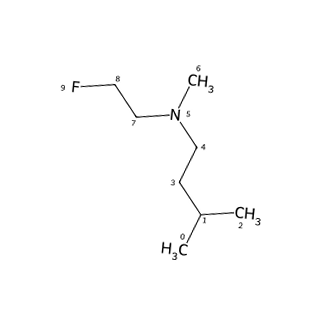 CC(C)CCN(C)CCF